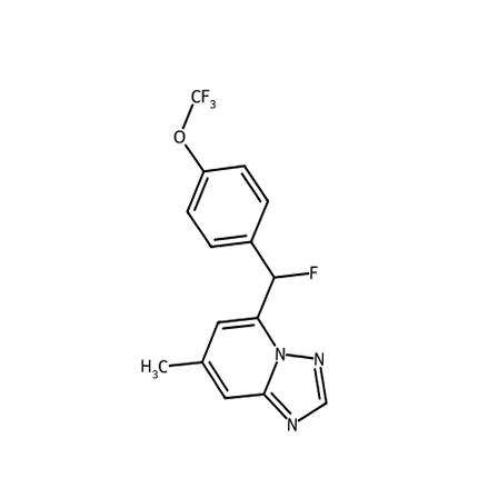 Cc1cc(C(F)c2ccc(OC(F)(F)F)cc2)n2ncnc2c1